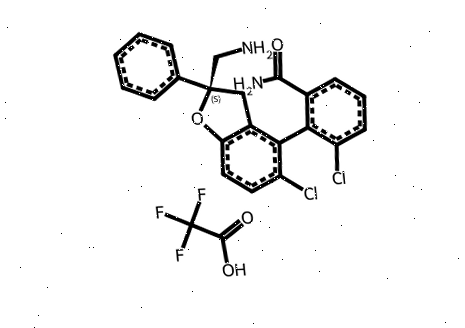 NC[C@@]1(c2ccccc2)Cc2c(ccc(Cl)c2-c2c(Cl)cccc2C(N)=O)O1.O=C(O)C(F)(F)F